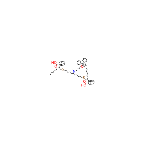 CCCCCCC(CSCCCCCC(CCCCCSCC(CCCCCC)C1C2CC3CC(C2)CC1(C(=O)O)C3)N(C)CCCCO[Si](c1ccccc1)(c1ccccc1)C(C)(C)C)C1C2CC3CC(C2)CC1(C(=O)O)C3